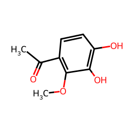 COc1c(C(C)=O)ccc(O)c1O